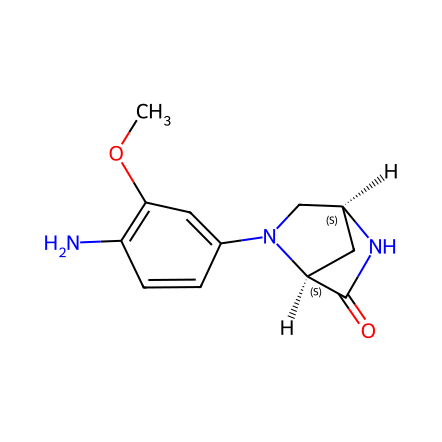 COc1cc(N2C[C@@H]3C[C@H]2C(=O)N3)ccc1N